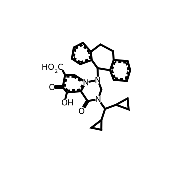 O=C(O)c1cn2c(c(O)c1=O)C(=O)N(C(C1CC1)C1CC1)CN2C1c2ccccc2CCc2ccccc21